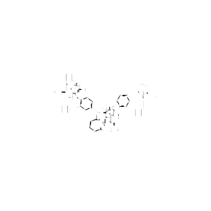 O=C1CC[C@@H](Cc2ccc(N3CC(=O)N(n4c(Cc5ccc(N6CC(=O)NS6(=O)=O)c(O)c5)cccc4=O)S3(=O)=O)c(O)c2)N1